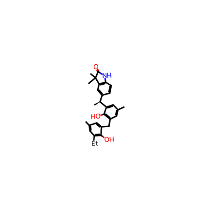 CCc1cc(C)cc(Cc2cc(C)cc([C@@H](C)c3ccc4c(c3)C(C)(C)C(=O)N4)c2O)c1O